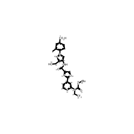 Cc1cc(C(=O)O)ccc1-n1cc(NC(=O)c2coc(-c3ccnc(N(CC(F)(F)F)C(=O)OC(C)(C)C)c3)n2)c(CO)n1